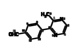 Cc1nccnc1-c1ccc(C=O)cc1